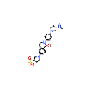 CN(C)[C@@H]1CCN(c2ccc(N3CCc4cc(N5CCC(S(C)(=O)=O)C5)ccc4C3=O)cc2F)C1